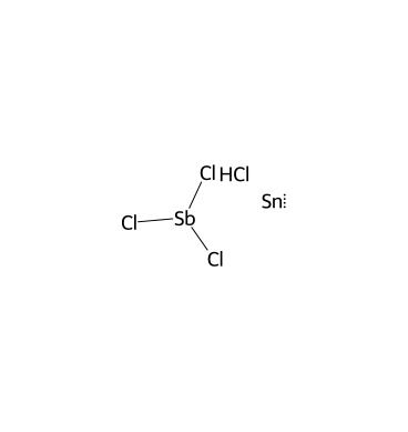 Cl.[Cl][Sb]([Cl])[Cl].[Sn]